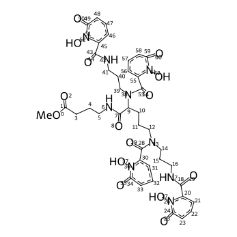 COC(=O)CCCNC(=O)C(CCCN(CCCNC(=O)c1cccc(=O)n1O)C(=O)c1cccc(=O)n1O)N(CCCNC(=O)c1cccc(=O)n1O)C(=O)c1cccc(=O)n1O